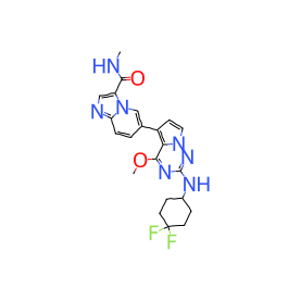 CNC(=O)c1cnc2ccc(-c3ccn4nc(NC5CCC(F)(F)CC5)nc(OC)c34)cn12